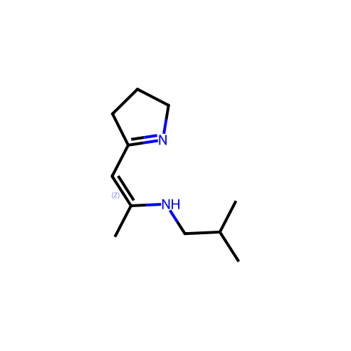 C/C(=C/C1=NCCC1)NCC(C)C